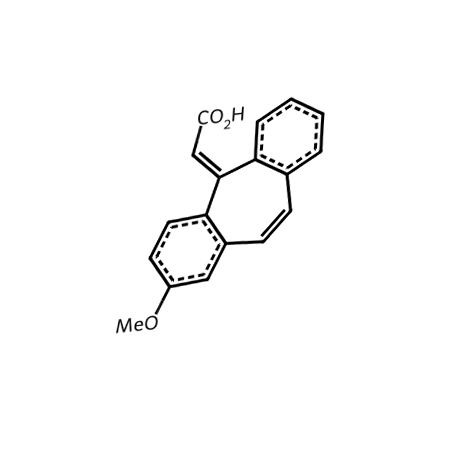 COc1ccc2c(c1)C=Cc1ccccc1/C2=C\C(=O)O